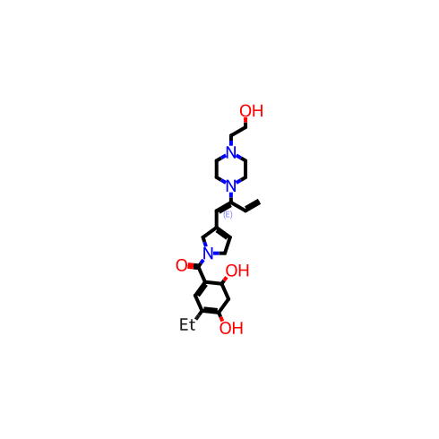 C=C/C(=C\C1=CCN(C(=O)C2=CC(CC)=C(O)CC2O)C1)N1CCN(CCO)CC1